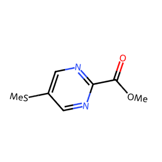 COC(=O)c1ncc(SC)cn1